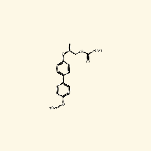 CCCCCCCCOc1ccc(-c2ccc(OC(C)COC(=O)CCCCCC)cc2)cc1